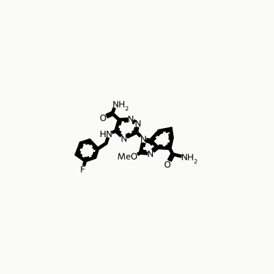 COc1nc2c(C(N)=O)cccc2n1-c1nnc(C(N)=O)c(NCc2cccc(F)c2)n1